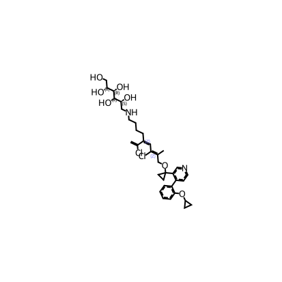 C=C(Cl)/C(=C\C(Cl)=C(/C)COC1(c2cnccc2-c2ccccc2OC2CC2)CC1)CCCCNC[C@H](O)[C@@H](O)[C@H](O)[C@H](O)CO